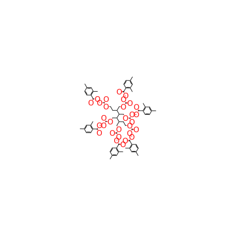 Cc1ccc(C(=O)OOC(=O)OCCC(COC(=O)OOC(=O)c2ccc(C)cc2C)C(COC(=O)OOC(=O)c2ccc(C)cc2C)C(COC(=O)OOC(=O)c2ccc(C)cc2C)C(CCOC(=O)OOC(=O)c2ccc(C)cc2C)COC(=O)OOC(=O)c2ccc(C)cc2C)c(C)c1